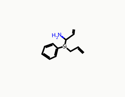 C=CC[Si](c1ccccc1)C(N)C=C